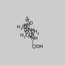 COC(=O)[C@H](CNC(=O)c1ccsc1)NC(=O)c1c(C)nc(NCCCc2cccc(O)c2)nc1C